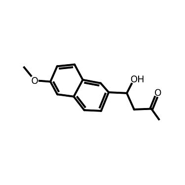 COc1ccc2cc(C(O)CC(C)=O)ccc2c1